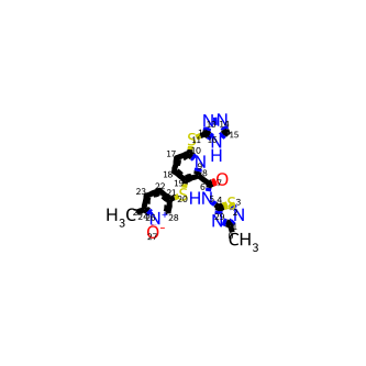 Cc1nsc(NC(=O)c2nc(Sc3nnc[nH]3)ccc2Sc2ccc(C)[n+]([O-])c2)n1